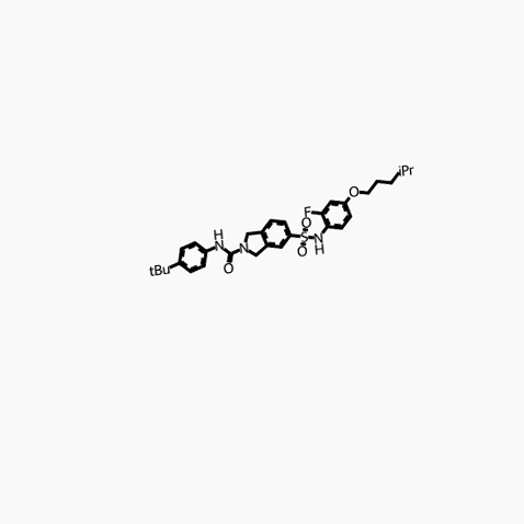 CC(C)CCCOc1ccc(NS(=O)(=O)c2ccc3c(c2)CN(C(=O)Nc2ccc(C(C)(C)C)cc2)C3)c(F)c1